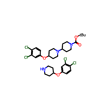 CC(C)(C)OC(=O)N1CCC(N2CCC(Oc3ccc(Cl)c(Cl)c3)CC2)CC1.Clc1ccc(OC2CCNCC2)cc1Cl